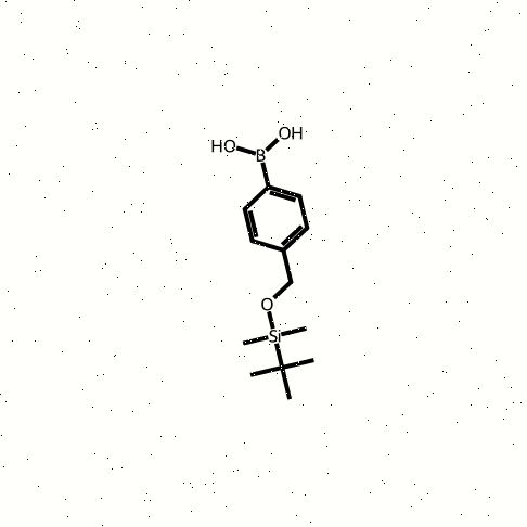 CC(C)(C)[Si](C)(C)OCc1ccc(B(O)O)cc1